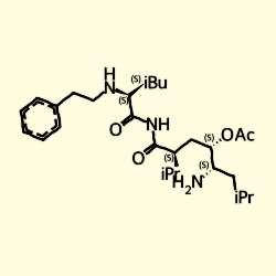 CC[C@H](C)[C@H](NCCc1ccccc1)C(=O)NC(=O)[C@@H](C[C@H](OC(C)=O)[C@@H](N)CC(C)C)C(C)C